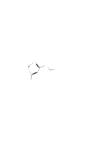 CC(C)(C)COc1cc(Cl)ncn1